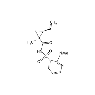 C=C[C@@H]1C[C@]1(C)C(=O)NS(=O)(=O)c1cccnc1NC